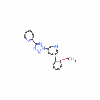 COc1ccccc1-c1cncc(-n2nnc(-c3ccccn3)n2)c1